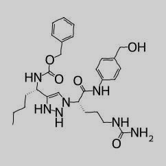 CCCC[C@H](NC(=O)OCc1ccccc1)C1=CN([C@@H](CCCNC(N)=O)C(=O)Nc2ccc(CO)cc2)NN1